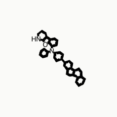 C1=Cc2c(oc3c(N(c4ccccc4)c4ccc(-c5ccc6c(ccc7c8ccccc8ccc67)c5)cc4)cccc23)NC1